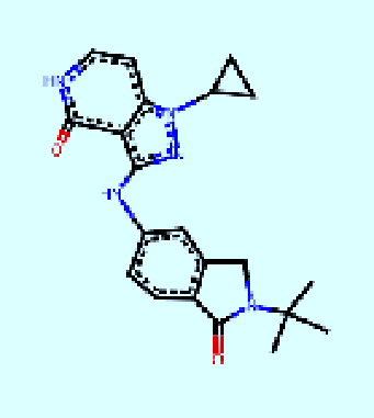 CC(C)(C)N1Cc2cc(Nc3nn([C]4CC4)c4cc[nH]c(=O)c34)ccc2C1=O